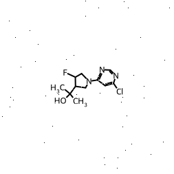 CC(C)(O)C1CN(c2cc(Cl)ncn2)CC1F